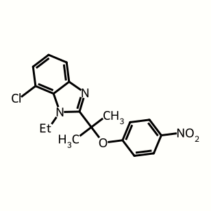 CCn1c(C(C)(C)Oc2ccc([N+](=O)[O-])cc2)nc2cccc(Cl)c21